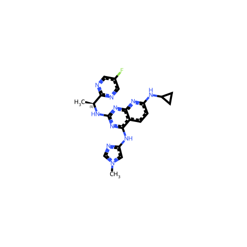 C[C@H](Nc1nc(Nc2cn(C)cn2)c2ccc(NC3CC3)nc2n1)c1ncc(F)cn1